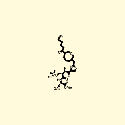 COC(=O)[C@H](COC(C)=O)NC(=O)[C@H](CO[Si](C)(C)C(C)(C)C)NC(=O)c1csc(CC2CCCC(C(=O)CCCCC(C)C)CCC2)n1